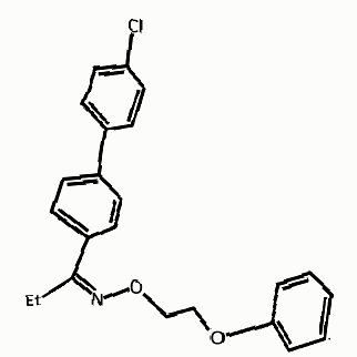 CCC(=NOCCOc1c[c]ccc1)c1ccc(-c2ccc(Cl)cc2)cc1